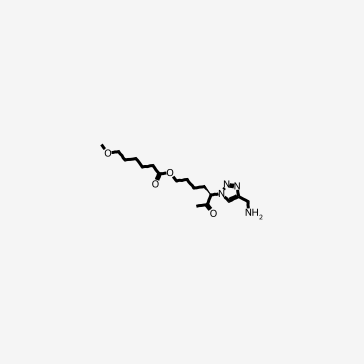 COCCCCCC(=O)OCCCC[C@H](C(C)=O)n1cc(CN)nn1